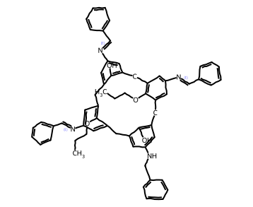 CCCOc1c2cc(/N=C/c3ccccc3)cc1Cc1cc(NCc3ccccc3)cc(c1O)Cc1cc(/N=C/c3ccccc3)cc(c1OCCC)Cc1cc(/N=C/c3ccccc3)cc(c1O)C2